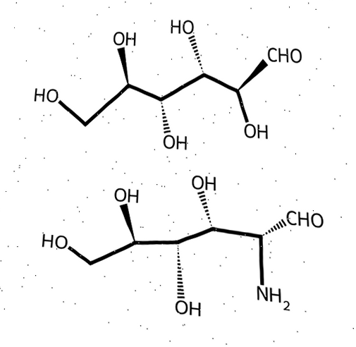 N[C@@H](C=O)[C@@H](O)[C@H](O)[C@H](O)CO.O=C[C@@H](O)[C@@H](O)[C@H](O)[C@H](O)CO